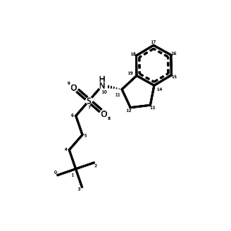 CC(C)(C)CCCS(=O)(=O)N[C@H]1CCc2ccccc21